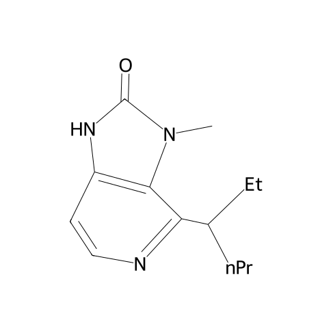 CCCC(CC)c1nccc2[nH]c(=O)n(C)c12